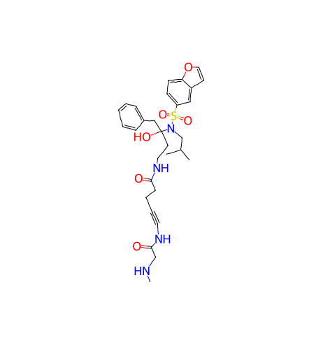 CNCC(=O)NC#CCCC(=O)NCCC(O)(Cc1ccccc1)N(CC(C)C)S(=O)(=O)c1ccc2occc2c1